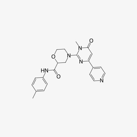 Cc1ccc(NC(=O)C2CN(c3nc(-c4ccncc4)cc(=O)n3C)CCO2)cc1